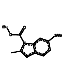 CSc1ccc2cc(C)n(C(=O)OC(C)(C)C)c2c1